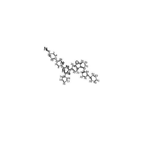 N#Cc1ccc(-c2ccc(-c3nc(-c4ccccc4)nc(-c4ccc5c(c4)oc4cccc(-c6cccc(-c7ccccc7)c6)c45)n3)nc2)cc1